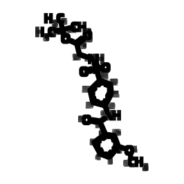 COc1cccc(C(=O)Nc2ccc(S(=O)(=O)NCC(=O)OC(C)(C)C)cc2)c1